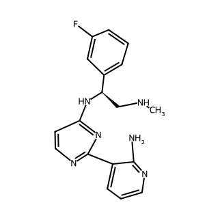 CNC[C@@H](Nc1ccnc(-c2cccnc2N)n1)c1cccc(F)c1